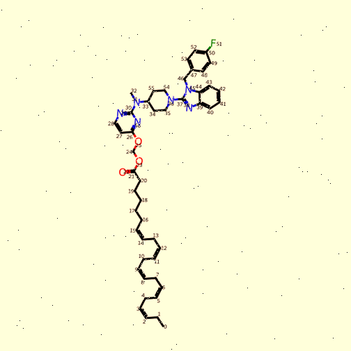 CC/C=C\C/C=C\C/C=C\C/C=C\C/C=C\CCCCCC(=O)OCOc1ccnc(N(C)C2CCN(c3nc4ccccc4n3Cc3ccc(F)cc3)CC2)n1